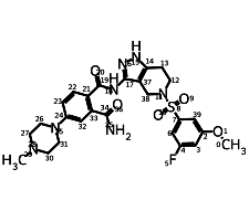 COc1cc(F)cc(S(=O)(=O)N2CCc3[nH]nc(NC(=O)c4ccc(N5CCN(C)CC5)cc4C(N)=O)c3C2)c1